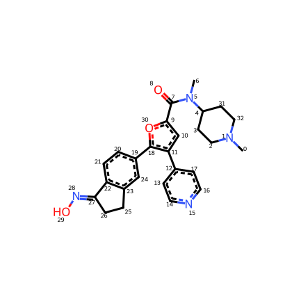 CN1CCC(N(C)C(=O)c2cc(-c3ccncc3)c(-c3ccc4c(c3)CCC4=NO)o2)CC1